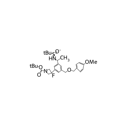 COc1ccc(COCc2cc(C(C)N[S@+]([O-])C(C)(C)C)cc(C3(F)CN(C(=O)OC(C)(C)C)C3)c2)cc1